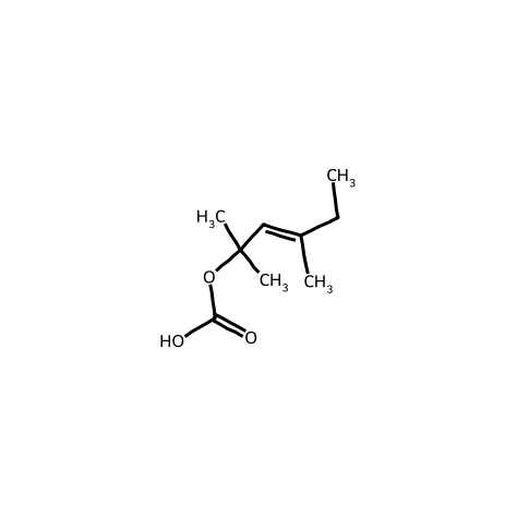 CCC(C)=CC(C)(C)OC(=O)O